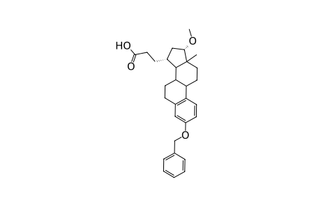 CO[C@H]1C[C@@H](CCC(=O)O)C2C3CCc4cc(OCc5ccccc5)ccc4C3CCC21C